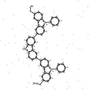 CC(C)Cc1ccc2c(c1)c1cc(-c3ccc4[nH]c5ccc(-c6ccc7c(c6)c6cc(CC(C)C)ccc6n7-c6ccccc6)cc5c4c3)ccc1n2-c1ccccc1